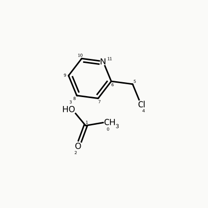 CC(=O)O.ClCc1ccccn1